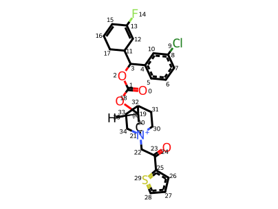 O=C(OC(c1cccc(Cl)c1)C1C=C(F)C=CC1)O[C@H]1C[N+]2(CC(=O)c3cccs3)CCC1CC2